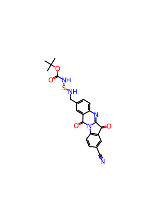 CC(C)(C)OC(=O)NSNCc1ccc2nc3n(c(=O)c2c1)-c1ccc(C#N)cc1C3=O